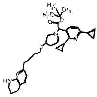 CC(C)(C)OC(=O)C(c1ccc(C2CC2)nc1C1CC1)N1CCC(OCCCCc2ccc3c(n2)NCCC3)C1